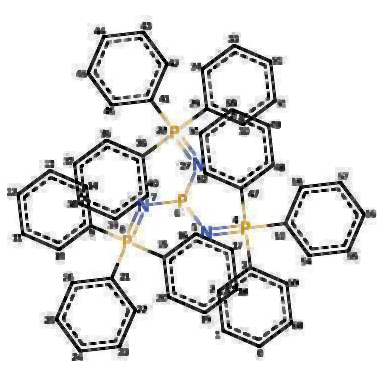 c1ccc(P(=NP(N=P(c2ccccc2)(c2ccccc2)c2ccccc2)N=P(c2ccccc2)(c2ccccc2)c2ccccc2)(c2ccccc2)c2ccccc2)cc1